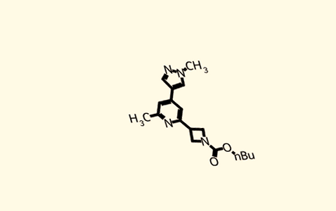 CCCCOC(=O)N1CC(c2cc(-c3cnn(C)c3)cc(C)n2)C1